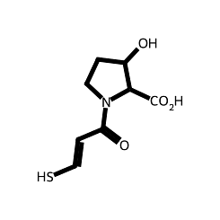 O=C(O)C1C(O)CCN1C(=O)C=CS